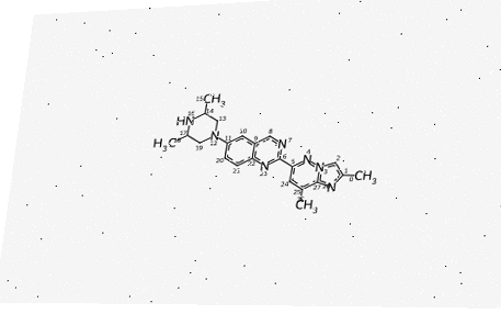 Cc1cn2nc(-c3ncc4cc(N5CC(C)NC(C)C5)ccc4n3)cc(C)c2n1